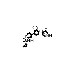 C[C@@H]1C[C@H]1C(=O)Nc1cc(-c2ccc(O[C@H]3CCNC[C@H]3F)c(C#N)c2)ccn1